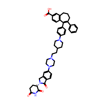 O=C1CC[C@H](N2Cc3cc(N4CCN(CCC5CCN(c6ccc(C7=C(c8ccccc8)CCCc8cc(C(=O)O)ccc87)cc6)CC5)CC4)ccc3C2=O)C(=O)N1